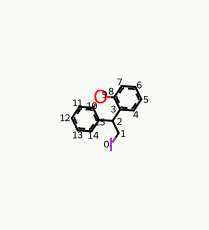 ICC1c2ccccc2Oc2ccccc21